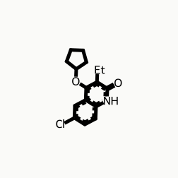 CCc1c(OC2CCCC2)c2cc(Cl)ccc2[nH]c1=O